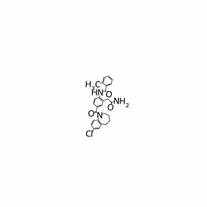 Cc1ccccc1C(=O)Nc1ccc(C(=O)N2CCCCc3cc(Cl)ccc32)cc1CC(N)=O